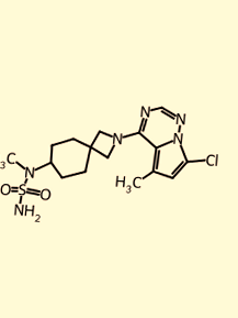 Cc1cc(Cl)n2ncnc(N3CC4(CCC(N(C)S(N)(=O)=O)CC4)C3)c12